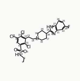 CCNS(=O)(=O)c1cc(Cl)c(Cl)c(CCN2CCC(c3nc4cc(F)ccc4[nH]3)CC2)c1Cl